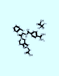 N=C(N)c1ccc(C(=O)N[C@@H](Cc2ccccc2)C(=O)N2CCc3nn(CC(=O)O)cc3C2)cc1.O=C(O)C(F)(F)F